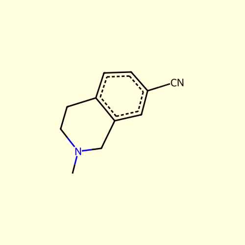 CN1CCc2ccc(C#N)cc2C1